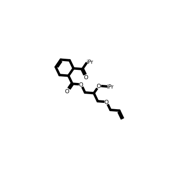 C=CCOCC(COC(=O)C1CC=CCC1C(=O)C(C)C)OC(C)C